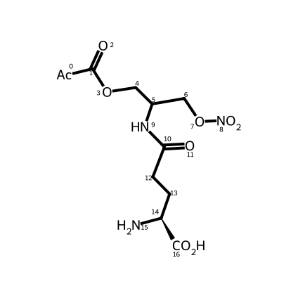 CC(=O)C(=O)OCC(CO[N+](=O)[O-])NC(=O)CC[C@H](N)C(=O)O